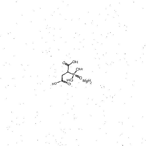 O=C(O)CC(C(=O)O)P(=O)(O)O.[MgH2]